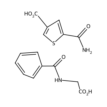 NC(=O)c1cc(C(=O)O)cs1.O=C(O)CNC(=O)c1ccccc1